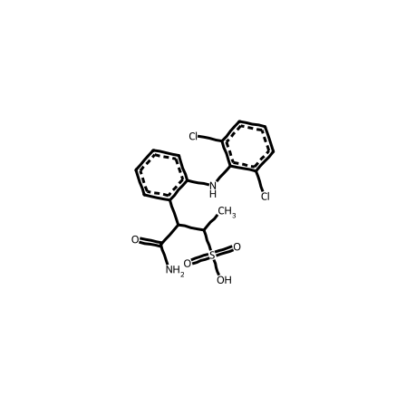 CC(C(C(N)=O)c1ccccc1Nc1c(Cl)cccc1Cl)S(=O)(=O)O